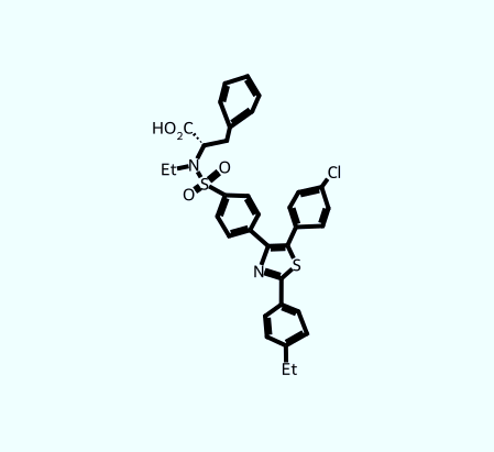 CCc1ccc(-c2nc(-c3ccc(S(=O)(=O)N(CC)[C@@H](Cc4ccccc4)C(=O)O)cc3)c(-c3ccc(Cl)cc3)s2)cc1